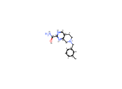 Cc1cccc(CN2CCc3[c]nc(C(N)=O)nc3C2)c1